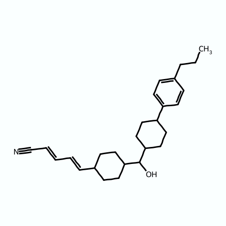 CCCc1ccc(C2CCC(C(O)C3CCC(C=CC=CC#N)CC3)CC2)cc1